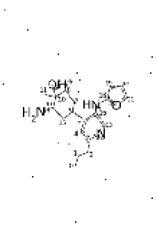 CCCc1cc(C2CC(C)C(C)(O)C(N)C2)c(Nc2ccco2)cn1